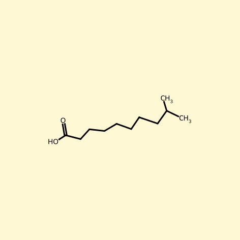 CC(C)CCCCCCCC(=O)O